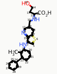 Cc1c(Nc2csc3cc(CNC(CCO)C(=O)O)cnc23)cccc1-c1ccccc1